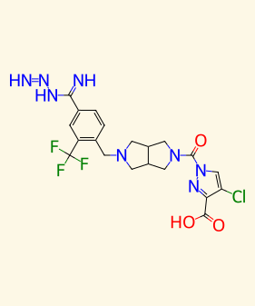 N=NNC(=N)c1ccc(CN2CC3CN(C(=O)n4cc(Cl)c(C(=O)O)n4)CC3C2)c(C(F)(F)F)c1